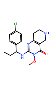 CCC(Nc1nc2c(c(=O)n1OC)CNCC2)c1ccc(Cl)cc1